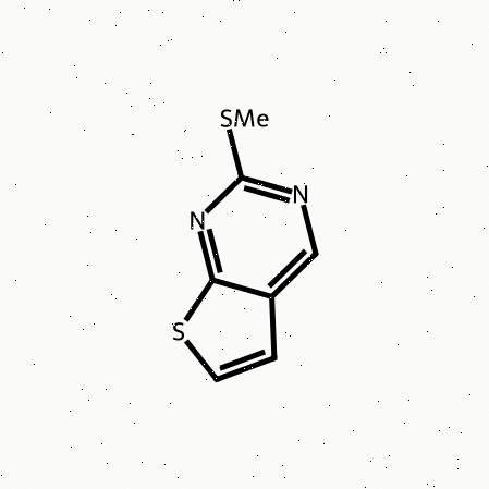 CSc1ncc2ccsc2n1